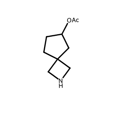 CC(=O)OC1CCC2(CNC2)C1